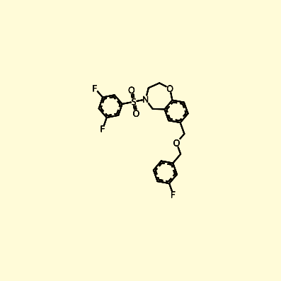 O=S(=O)(c1cc(F)cc(F)c1)N1CCOc2ccc(COCc3cccc(F)c3)cc2C1